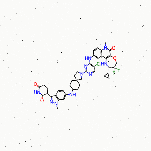 Cn1nc(C2CCC(=O)NC2=O)c2ccc(NC3CCC4(CC3)CCN(c3ncc(Cl)c(Nc5ccc6c(c5)c5c(c(=O)n6C)OCC(F)(F)[C@H](C6CC6)N5)n3)C4)cc21